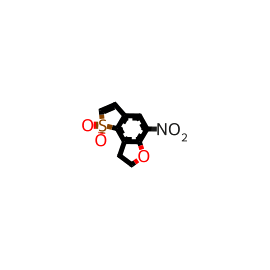 O=[N+]([O-])c1cc2c(c3c1OCC3)S(=O)(=O)C=C2